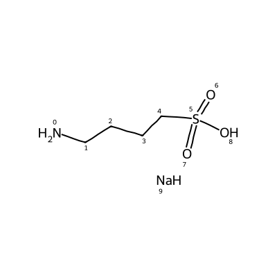 NCCCCS(=O)(=O)O.[NaH]